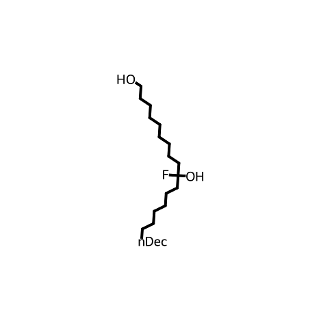 CCCCCCCCCCCCCCCCC(O)(F)CCCCCCCCCO